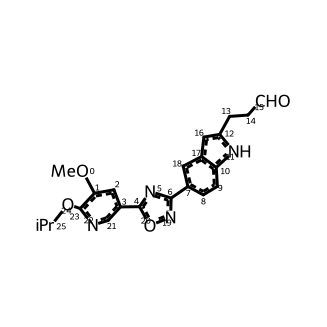 COc1cc(-c2nc(-c3ccc4[nH]c(CCC=O)cc4c3)no2)cnc1OC(C)C